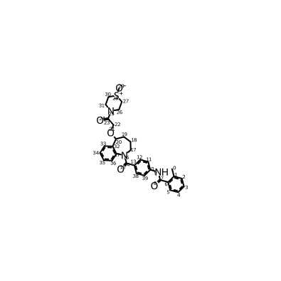 Cc1ccccc1C(=O)Nc1ccc(C(=O)N2CCCC(OCC(=O)N3CC[S+]([O-])CC3)c3ccccc32)cc1